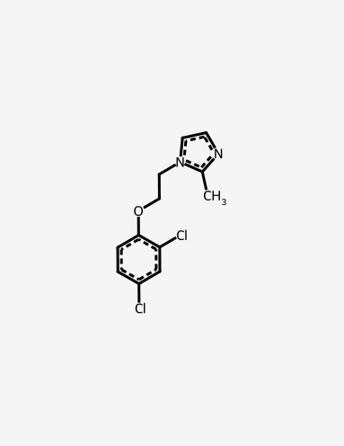 Cc1nccn1CCOc1ccc(Cl)cc1Cl